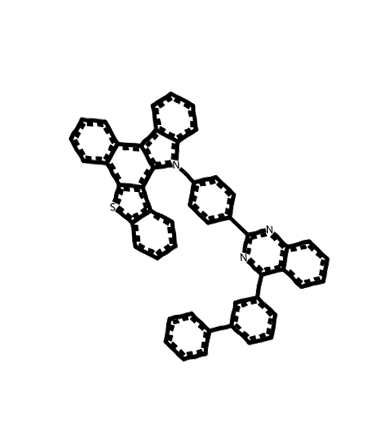 c1ccc(-c2cccc(-c3nc(-c4ccc(-n5c6ccccc6c6c7ccccc7c7sc8ccccc8c7c65)cc4)nc4ccccc34)c2)cc1